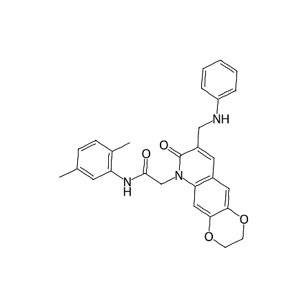 Cc1ccc(C)c(NC(=O)Cn2c(=O)c(CNc3ccccc3)cc3cc4c(cc32)OCCO4)c1